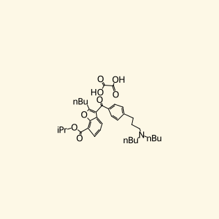 CCCCc1oc2c(C(=O)OC(C)C)cccc2c1C(=O)c1ccc(CCCN(CCCC)CCCC)cc1.O=C(O)C(=O)O